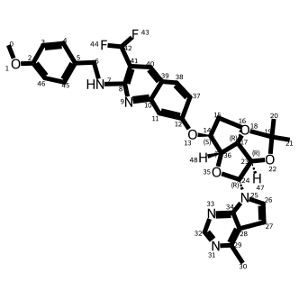 COc1ccc(CNc2nc3cc(O[C@H]4CC[C@]56OC(C)(C)O[C@H]5[C@H](n5ccc7c(C)ncnc75)O[C@H]46)ccc3cc2C(F)F)cc1